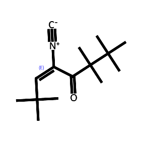 [C-]#[N+]/C(=C/C(C)(C)C)C(=O)C(C)(C)C(C)(C)C